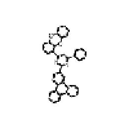 c1ccc(-c2cc(-c3cccc4c3Oc3ccccc3O4)nc(-c3ccc4c5ccccc5c5ccccc5c4c3)n2)cc1